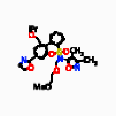 COCCOCN(c1onc(C)c1C)S(=O)(=O)c1ccccc1-c1ccc(-c2ncco2)cc1COC(C)C